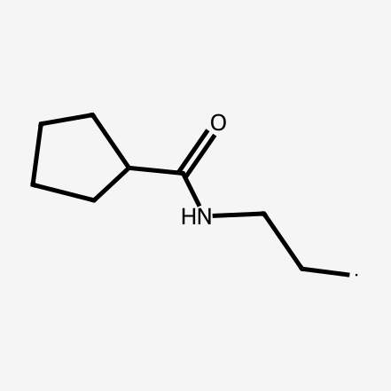 [CH2]CCNC(=O)C1CCCC1